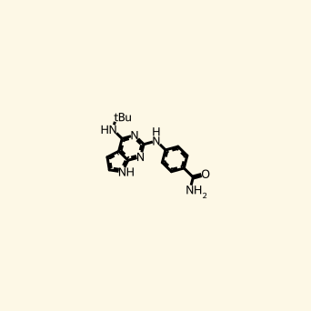 CC(C)(C)Nc1nc(Nc2ccc(C(N)=O)cc2)nc2[nH]ccc12